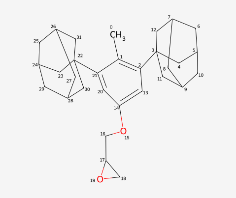 Cc1c(C23CC4CC(CC(C4)C2)C3)cc(OCC2CO2)cc1C12CC3CC(CC(C3)C1)C2